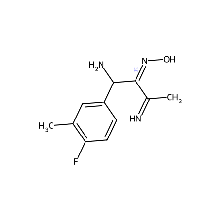 CC(=N)/C(=N\O)C(N)c1ccc(F)c(C)c1